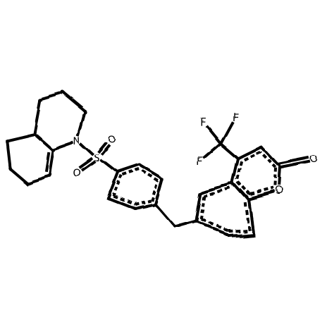 O=c1cc(C(F)(F)F)c2cc(Cc3ccc(S(=O)(=O)N4CCCC5CCCC=C54)cc3)ccc2o1